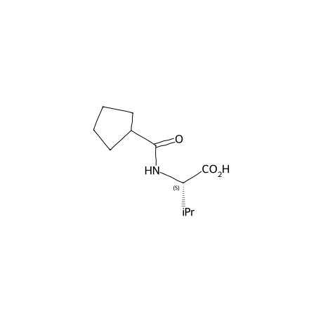 CC(C)[C@H](NC(=O)C1CCCC1)C(=O)O